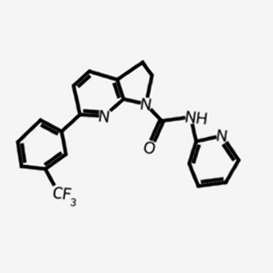 O=C(Nc1ccccn1)N1CCc2ccc(-c3cccc(C(F)(F)F)c3)nc21